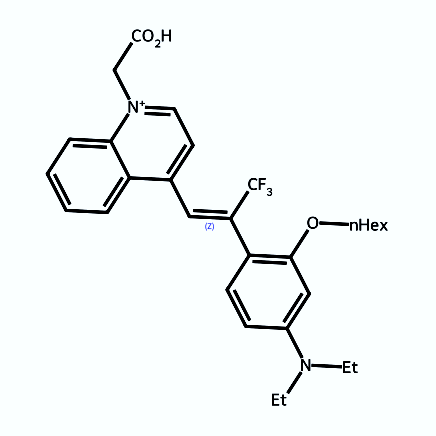 CCCCCCOc1cc(N(CC)CC)ccc1/C(=C/c1cc[n+](CC(=O)O)c2ccccc12)C(F)(F)F